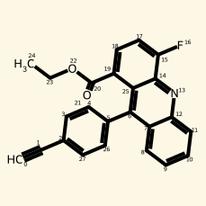 C#Cc1ccc(-c2c3ccccc3nc3c(F)ccc(C(=O)OCC)c23)cc1